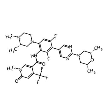 C[C@@H]1CN(c2ncc(-c3c(F)cc(N4CCN(C)[C@@H](C)C4)c(NC(=O)c4cn(C)c(=O)cc4C(F)(F)F)c3F)cn2)C[C@H](C)O1